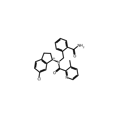 Cc1cccnc1C(=O)N(Cc1ccccc1C(N)=O)[C@@H]1CCc2ccc(Cl)cc21